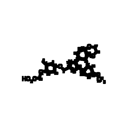 Cc1cc(OCc2nc(-c3ccc4c(c3)OCCO4)c(-c3ccc(OC(F)(F)F)cc3)s2)ccc1OCC(=O)O